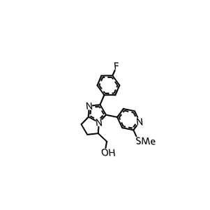 CSc1cc(-c2c(-c3ccc(F)cc3)nc3n2C(CO)CC3)ccn1